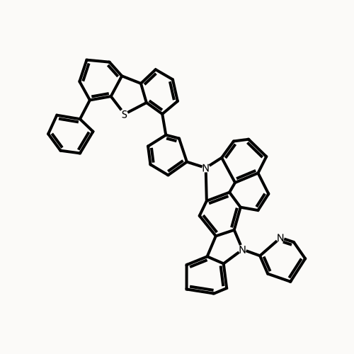 c1ccc(-c2cccc3c2sc2c(-c4cccc(-n5c6cccc7ccc8c(c76)c5cc5c6ccccc6n(-c6ccccn6)c58)c4)cccc23)cc1